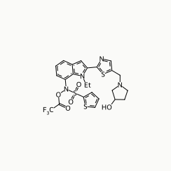 CCn1c(-c2ncc(CN3CCC(O)C3)s2)cc2cccc(N(OC(=O)C(F)(F)F)S(=O)(=O)c3cccs3)c21